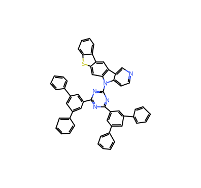 c1ccc(-c2cc(-c3ccccc3)cc(-c3nc(-c4cc(-c5ccccc5)cc(-c5ccccc5)c4)nc(-n4c5ccncc5c5cc6c(cc54)sc4ccccc46)n3)c2)cc1